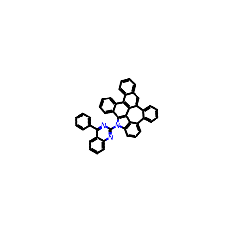 c1ccc(-c2nc(-n3c4cccc5c4c4c6c(cc7ccccc7c6c6ccccc6c43)-c3ccccc3-5)nc3ccccc23)cc1